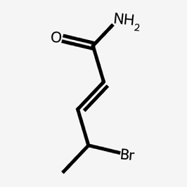 CC(Br)/C=C/C(N)=O